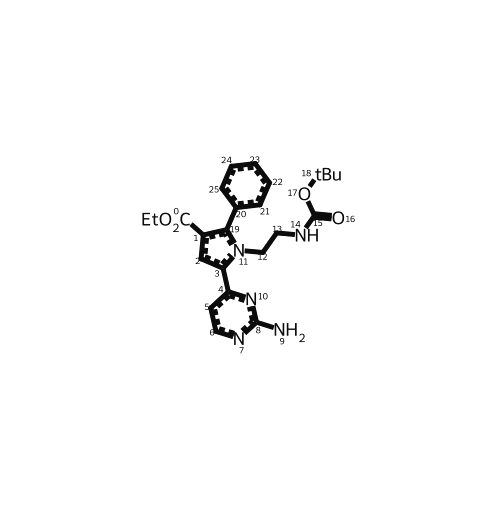 CCOC(=O)c1cc(-c2ccnc(N)n2)n(CCNC(=O)OC(C)(C)C)c1-c1ccccc1